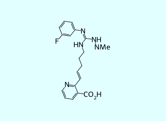 CNNC(=Nc1cccc(F)c1)NCCCC=Cc1ncccc1C(=O)O